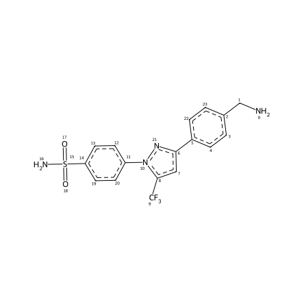 NCc1ccc(-c2cc(C(F)(F)F)n(-c3ccc(S(N)(=O)=O)cc3)n2)cc1